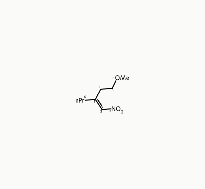 CCCC(=C[N+](=O)[O-])CCOC